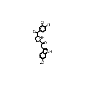 COc1ccc2c(CC(=O)C3CCC(C(=O)c4ccc(Cl)c(Cl)c4)N3)c[nH]c2c1